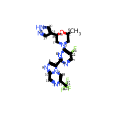 CC1CN(c2nc(-c3cnc4cnc(C(F)(F)F)cn34)ncc2F)CC(c2cn[nH]c2)O1